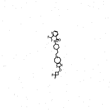 O=C(NC1CCC(CCN2CCc3nc(OC4CC(F)(F)C4)sc3CC2)CC1)c1cccnc1C(F)F